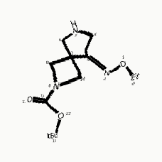 CCON=C1CNCC12CN(C(=O)OC(C)(C)C)C2